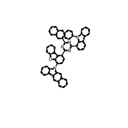 c1ccc(-n2c3ccccc3c3cccc(-c4nc(-c5ccc6ccccc6c5)nc(-c5ccc(-n6c7ccccc7c7cc8ccccc8cc76)c6oc7ccccc7c56)n4)c32)cc1